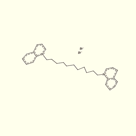 [Br-].[Br-].c1ccc2c(c1)ccc[n+]2CCCCCCCCCCC[n+]1cccc2ccccc21